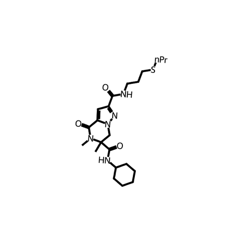 CCCSCCCNC(=O)c1cc2n(n1)CC(C)(C(=O)NC1CCCCC1)N(C)C2=O